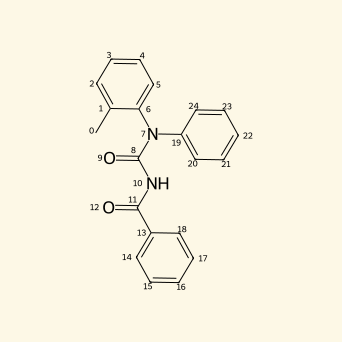 Cc1ccccc1N(C(=O)NC(=O)c1ccccc1)c1ccccc1